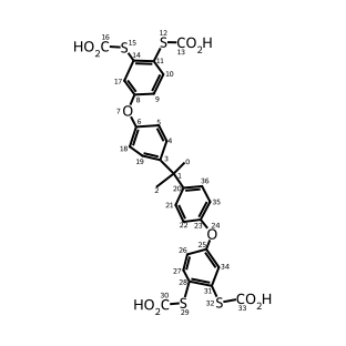 CC(C)(c1ccc(Oc2ccc(SC(=O)O)c(SC(=O)O)c2)cc1)c1ccc(Oc2ccc(SC(=O)O)c(SC(=O)O)c2)cc1